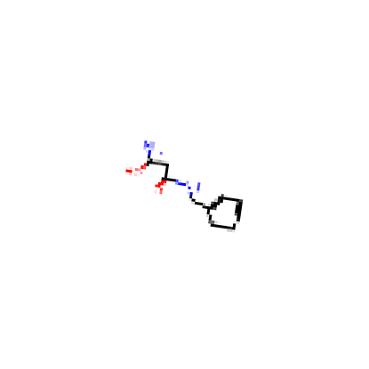 NC(O)CC(=O)NCc1ccccc1